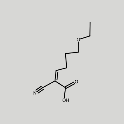 CCOCCCC=C(C#N)C(=O)O